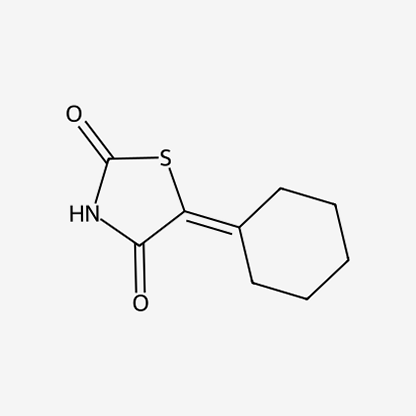 O=C1NC(=O)C(=C2CCCCC2)S1